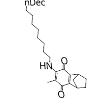 CCCCCCCCCCCCCCCCCCNC1=C(C)C(=O)C2=C(C1=O)C1CCC2C1